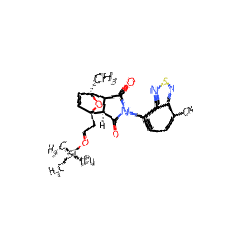 CC(C)(C)[Si](C)(C)OCC[C@@]12C=C[C@](C)(O1)C1C(=O)N(c3ccc(C#N)c4nsnc34)C(=O)[C@H]12